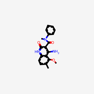 COc1c(C)ccc2[nH]c(=O)c(C(=O)N(C)c3ccccc3)c(N)c12